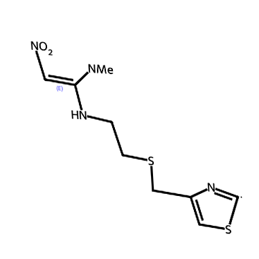 CN/C(=C\[N+](=O)[O-])NCCSCc1cs[c]n1